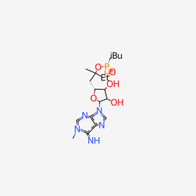 CCC(C)[PH](=O)OC(C)(CC)C[C@H]1OC(n2cnc3c(=N)n(C)cnc32)[C@H](O)[C@@H]1O